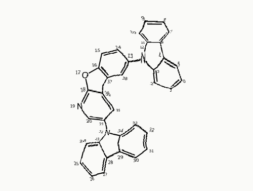 c1ccc2c(c1)c1ccccc1n2-c1ccc2oc3ncc(-n4c5ccccc5c5ccccc54)cc3c2c1